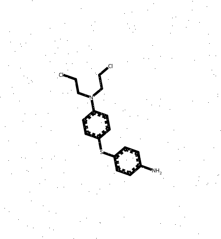 Nc1ccc(Sc2ccc(N(CCCl)CCCl)cc2)cc1